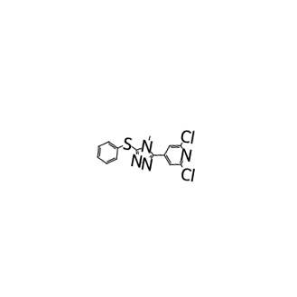 Cn1c(Sc2ccccc2)nnc1-c1cc(Cl)nc(Cl)c1